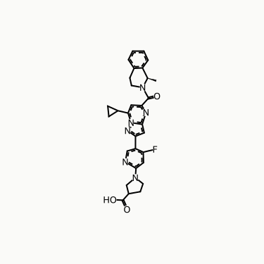 C[C@@H]1c2ccccc2CCN1C(=O)c1cc(C2CC2)n2nc(-c3cnc(N4CCC(C(=O)O)C4)cc3F)cc2n1